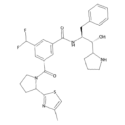 Cc1csc(C2CCCN2C(=O)c2cc(C(=O)N[C@@H](Cc3ccccc3)[C@H](O)C3CCCN3)cc(C(F)F)c2)n1